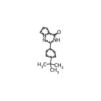 CC(C)(C)c1ccc(-c2nn3cccc3c(=O)[nH]2)cc1